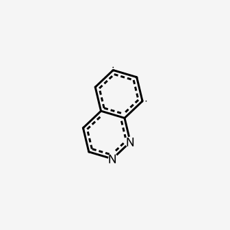 [c]1c[c]c2nnccc2c1